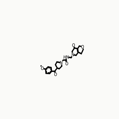 COc1ccc(C(=O)C2CCN(CC(=O)NCN3CC(=O)C4=C(CCOC4)C3)CC2)cc1